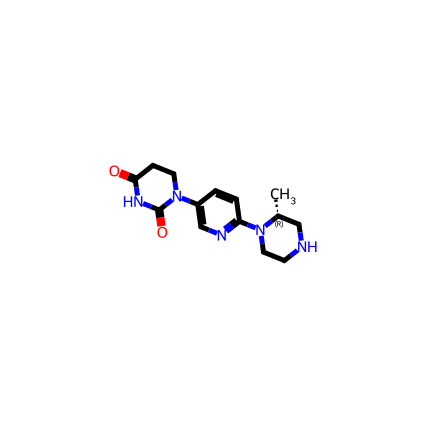 C[C@@H]1CNCCN1c1ccc(N2CCC(=O)NC2=O)cn1